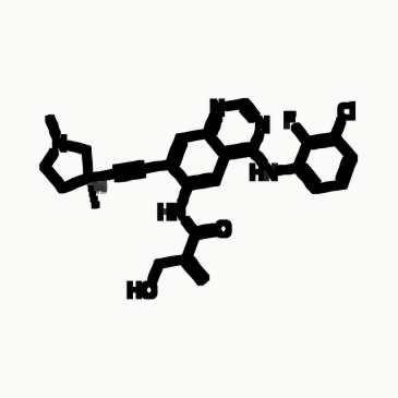 C=C(CO)C(=O)Nc1cc2c(Nc3cccc(Cl)c3F)ncnc2cc1C#C[C@@]1(C)CCN(C)C1